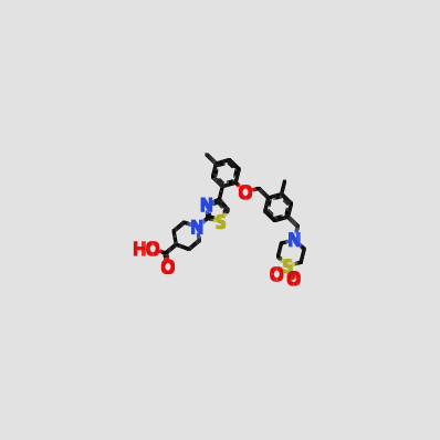 Cc1ccc(OCc2ccc(CN3CCS(=O)(=O)CC3)cc2C)c(-c2csc(N3CCC(C(=O)O)CC3)n2)c1